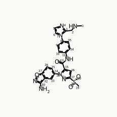 CNCc1nccn1-c1ccc(NC(=O)c2cc(S(C)(=O)=O)nn2-c2ccc3onc(N)c3c2)cc1